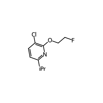 CC(C)c1ccc(Cl)c(OCCF)n1